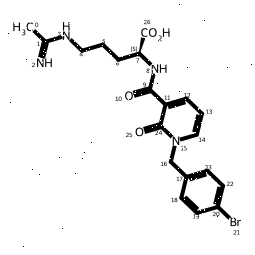 CC(=N)NCCC[C@H](NC(=O)c1cccn(Cc2ccc(Br)cc2)c1=O)C(=O)O